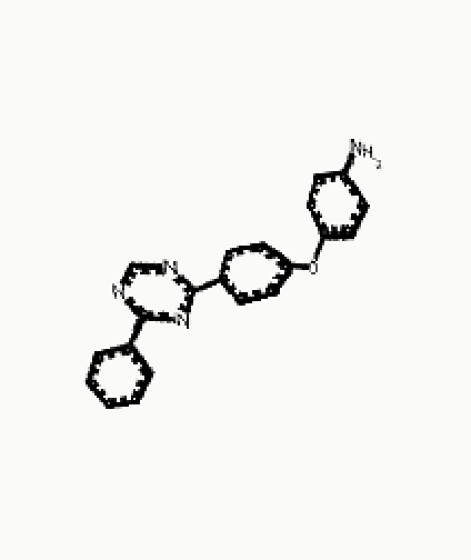 Nc1ccc(Oc2ccc(-c3ncnc(-c4ccccc4)n3)cc2)cc1